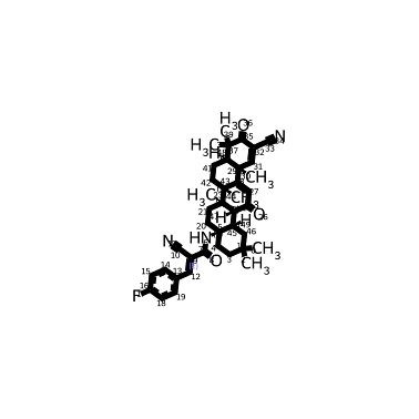 CC1(C)CC[C@]2(NC(=O)/C(C#N)=C/c3ccc(F)cc3)CC[C@]3(C)[C@H](C(=O)C=C4[C@@]5(C)C=C(C#N)C(=O)C(C)(C)[C@@H]5CC[C@]43C)[C@@H]2C1